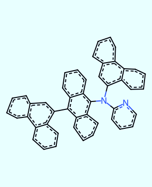 c1ccc(N(c2c3ccccc3c(-c3cc4ccccc4c4ccccc34)c3ccccc23)c2cc3ccccc3c3ccccc23)nc1